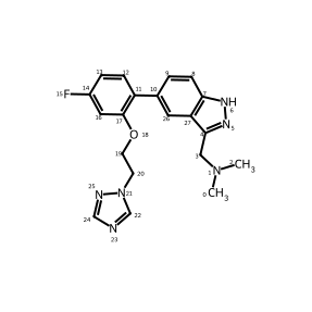 CN(C)Cc1n[nH]c2ccc(-c3ccc(F)cc3OCCn3cncn3)cc12